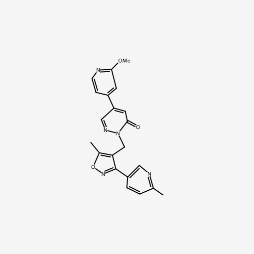 COc1cc(-c2cnn(Cc3c(-c4ccc(C)nc4)noc3C)c(=O)c2)ccn1